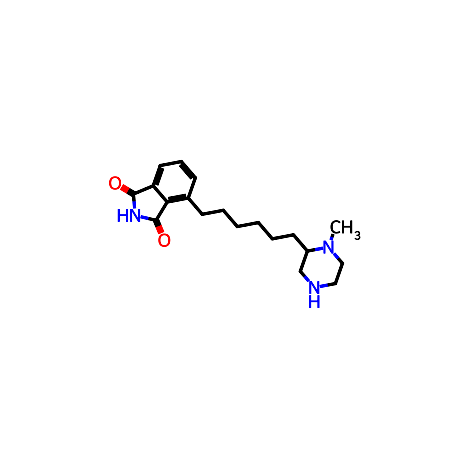 CN1CCNCC1CCCCCCc1cccc2c1C(=O)NC2=O